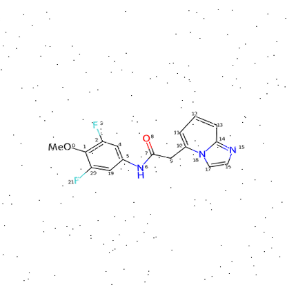 COc1c(F)cc(NC(=O)Cc2cccc3nccn23)cc1F